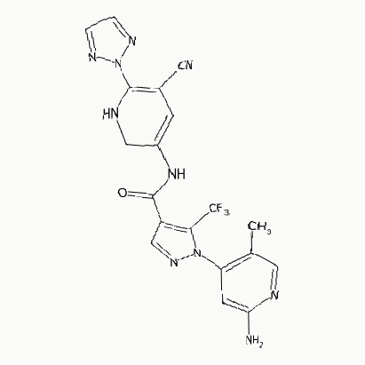 Cc1cnc(N)cc1-n1ncc(C(=O)NC2=CC(C#N)=C(n3nccn3)NC2)c1C(F)(F)F